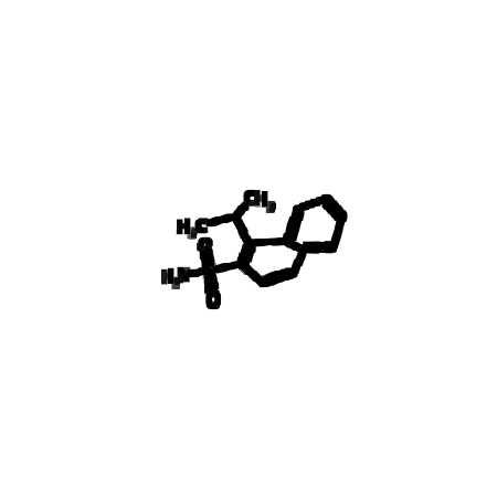 CC(C)c1c(S(N)(=O)=O)ccc2ccccc12